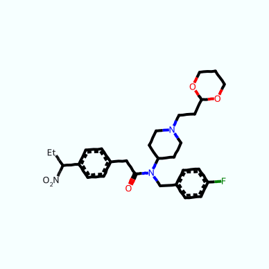 CCC(c1ccc(CC(=O)N(Cc2ccc(F)cc2)C2CCN(CCC3OCCCO3)CC2)cc1)[N+](=O)[O-]